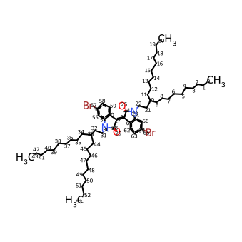 CCCCCCCCCCC(CCCCCCCCCC)CCN1C(=O)/C(=C2/C(=O)N(CCC(CCCCCCCCCC)CCCCCCCCCC)c3cc(Br)ccc32)c2ccc(Br)cc21